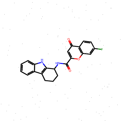 O=C(NC1CCCc2c1[nH]c1ccccc21)c1cc(=O)c2ccc(F)cc2o1